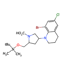 CC(C)(C)[Si](C)(C)OCC1CC(N2CCCc3cc(Cl)cc(Br)c32)CN1C(=O)O